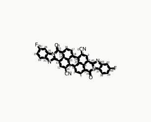 N#Cc1cc2c3c(ccc4c5c(C#N)cc6c7c(ccc(c1c43)c57)c(=O)n1c3cc(F)ccc3nc61)c(=O)n1c3ccc(F)cc3nc21